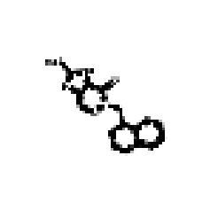 CSc1nc2cnn(Cc3cccc4ccccc34)c(=O)c2[nH]1